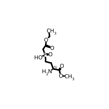 CCOC(=O)CP(=O)(O)CC[C@H](N)C(=O)OC